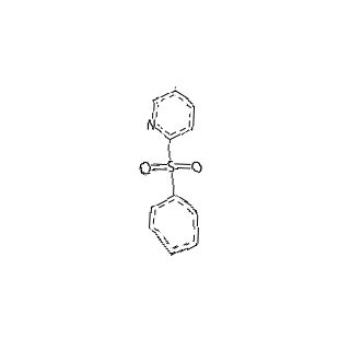 O=S(=O)(c1ccccc1)c1cc[c]cn1